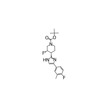 Cc1cc(-c2c[nH]c([C@@H]3CCN(C(=O)OC(C)(C)C)C[C@@H]3F)n2)ccc1F